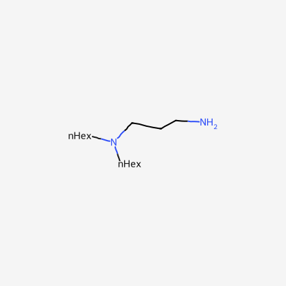 CCCCCCN(CCCN)CCCCCC